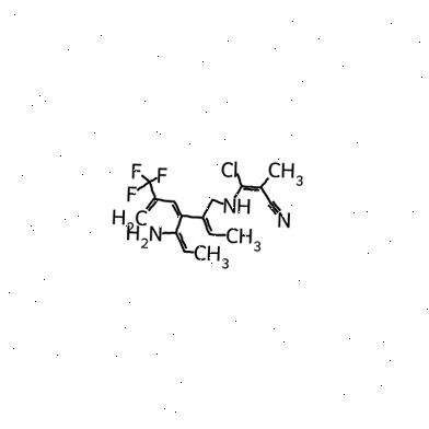 C=C(/C=C(C(=C/C)/CN/C(Cl)=C(/C)C#N)\C(N)=C/C)C(F)(F)F